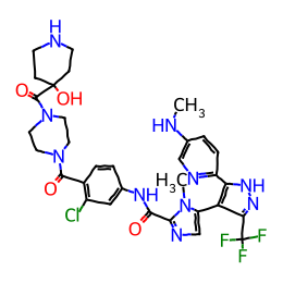 CNc1ccc(-c2[nH]nc(C(F)(F)F)c2-c2cnc(C(=O)Nc3ccc(C(=O)N4CCN(C(=O)C5(O)CCNCC5)CC4)c(Cl)c3)n2C)nc1